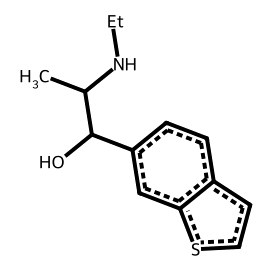 CCNC(C)C(O)c1ccc2ccsc2c1